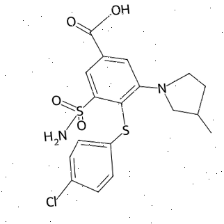 CC1CCN(c2cc(C(=O)O)cc(S(N)(=O)=O)c2Sc2ccc(Cl)cc2)C1